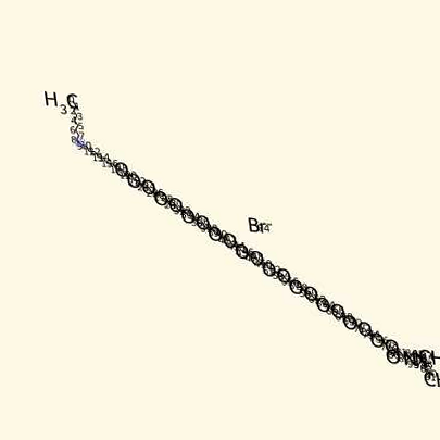 CCCCCCCC/C=C\CCCCCCCCOCCOCCOCCOCCOCCOCCOCCOCCOCCOCCOCCOCCOCCOCCOCCOCCOCCOCCOCCOCCOC(=O)CCN1CC[N+](C)(CCCC)CC1.[Br-]